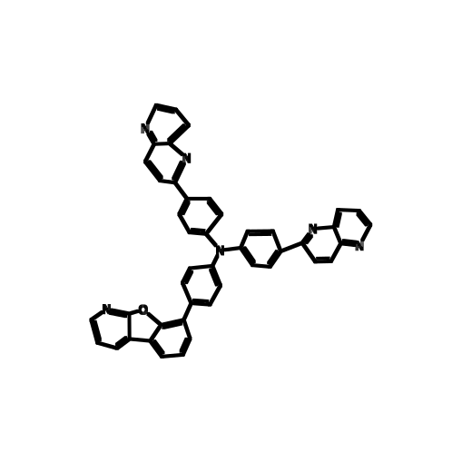 c1cnc2ccc(-c3ccc(N(c4ccc(-c5ccc6ncccc6n5)cc4)c4ccc(-c5cccc6c5oc5ncccc56)cc4)cc3)nc2c1